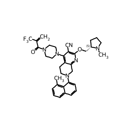 C=C(C(=O)N1CCN(c2c(C#N)c(OC[C@@H]3CCCN3C)nc3c2CCN(c2cccc4cccc(C)c24)C3)CC1)C(F)(F)F